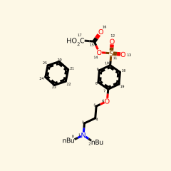 CCCCN(CCCC)CCCOc1ccc(S(=O)(=O)OC(=O)C(=O)O)cc1.c1ccccc1